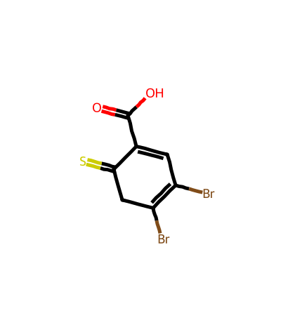 O=C(O)C1=CC(Br)=C(Br)CC1=S